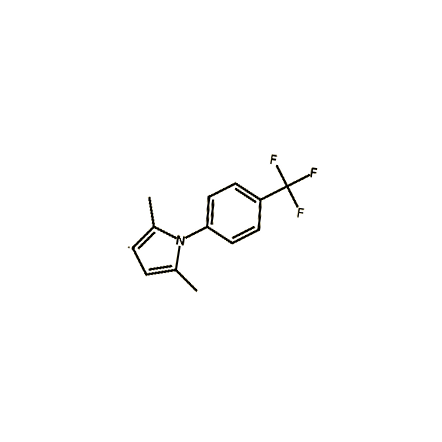 Cc1[c]cc(C)n1-c1ccc(C(F)(F)F)cc1